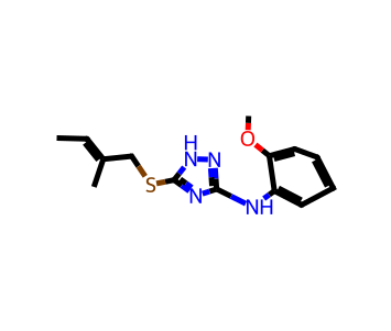 C/C=C(\C)CSc1nc(Nc2ccccc2OC)n[nH]1